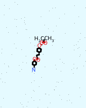 C=C(C)C(=O)OCOc1ccc(C=CC(=O)Oc2ccc(C#N)cc2)cc1